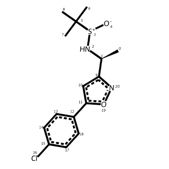 C[C@H](N[S+]([O-])C(C)(C)C)c1cc(-c2ccc(Cl)cc2)on1